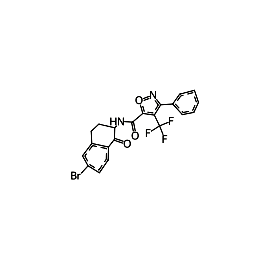 O=C(NC1CCc2cc(Br)ccc2C1=O)c1onc(-c2ccccc2)c1C(F)(F)F